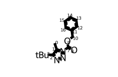 Cc1c(C(C)(C)C)nnn1C(=O)OCc1ccccc1